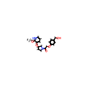 O=C(COc1ccc(CO)cc1)N1CCC(OC2=CC=CNC2OC(F)(F)F)C1